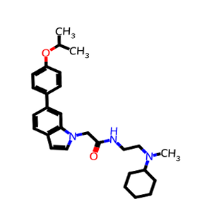 CC(C)Oc1ccc(-c2ccc3ccn(CC(=O)NCCN(C)C4CCCCC4)c3c2)cc1